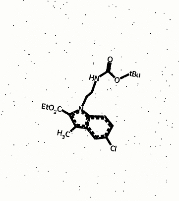 CCOC(=O)c1c(C)c2cc(Cl)ccc2n1CCNC(=O)OC(C)(C)C